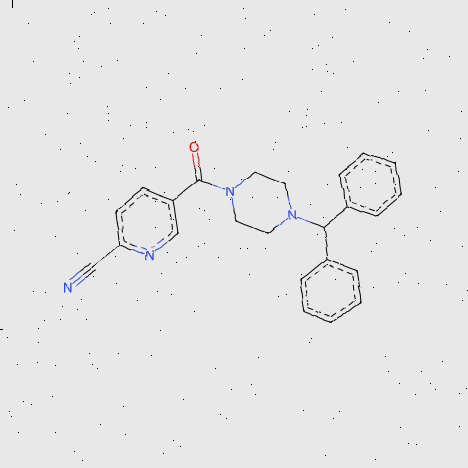 N#Cc1ccc(C(=O)N2CCN(C(c3ccccc3)c3ccccc3)CC2)cn1